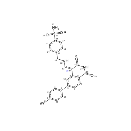 CC(C)c1ccc(-c2ccc3c(c2)/C(=C/NCc2ccc(S(N)(=O)=O)cc2)C(=O)NC3=O)cc1